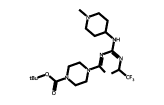 C/C(=N\C(=N/C(C)C(F)(F)F)NC1CCN(C)CC1)N1CCN(C(=O)OC(C)(C)C)CC1